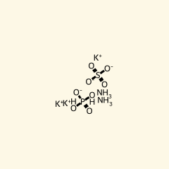 N.N.O=P([O-])(O)O.O=S(=O)([O-])[O-].[K+].[K+].[K+]